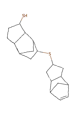 SC1CCC2C3CC(SC4CC5C6C=CC(C6)C5C4)C(C3)C12